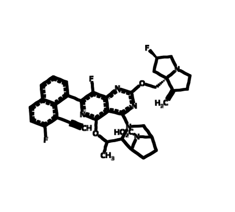 C#Cc1c(F)ccc2cccc(-c3nc4c5c(nc(OC[C@]67C[C@@H](F)CN6CCC7=C)nc5c3F)N3CC5CCC(C3C(C)O4)N5C(=O)O)c12